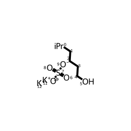 CC(C)CCCCO.O=S(=O)([O-])[O-].[K+].[K+]